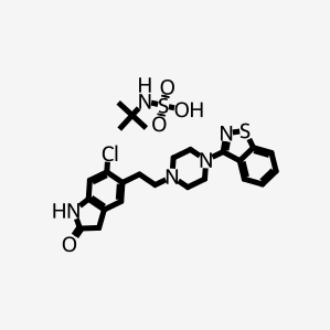 CC(C)(C)NS(=O)(=O)O.O=C1Cc2cc(CCN3CCN(c4nsc5ccccc45)CC3)c(Cl)cc2N1